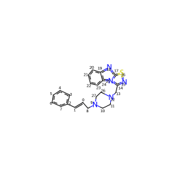 C(=Cc1ccccc1)CN1CCN(Cc2nsc3nc4ccccc4n23)CC1